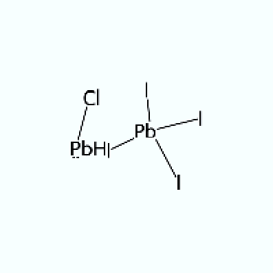 [Cl][PbH].[I][Pb]([I])([I])[I]